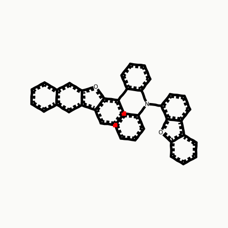 c1ccc(N(c2ccccc2-c2cccc3c2oc2cc4ccccc4cc23)c2cccc3c2oc2ccccc23)cc1